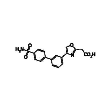 NS(=O)(=O)c1ccc(-c2cccc(-c3coc(CC(=O)O)n3)c2)cc1